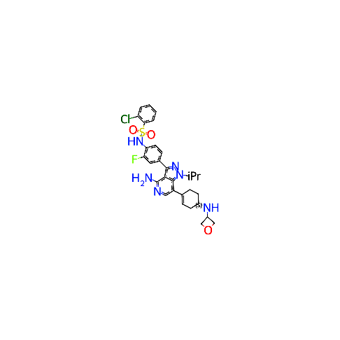 CC(C)n1nc(-c2ccc(NS(=O)(=O)c3ccccc3Cl)c(F)c2)c2c(N)ncc(C3=CC[C@@H](NC4COC4)CC3)c21